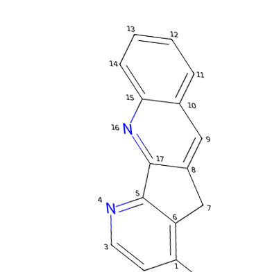 Cc1ccnc2c1Cc1cc3ccccc3nc1-2